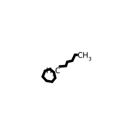 C1CCCCCC1.CCCCCCC